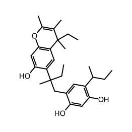 CCC(C)c1cc(CC(C)(CC)c2cc3c(cc2O)OC(C)=C(C)C3(C)CC)c(O)cc1O